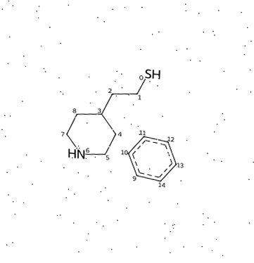 SCCC1CCNCC1.c1ccccc1